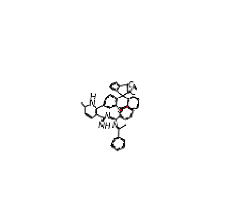 C/C(=N\C(=N/C(=N)C1=C(c2ccc3c(c2)Oc2ccccc2C32c3ccccc3-c3ccccc32)NC(C)C=C1)c1ccccc1)c1ccccc1